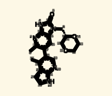 Cc1nc2[nH]c(=O)n(C[C@H]3COCCO3)c2cc1-c1cnc2[nH]ccc2c1C